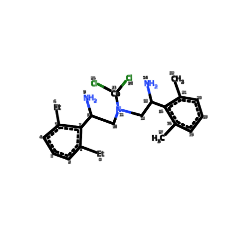 CCc1cccc(CC)c1C(N)C[N](CC(N)c1c(C)cccc1C)[Co]([Cl])[Cl]